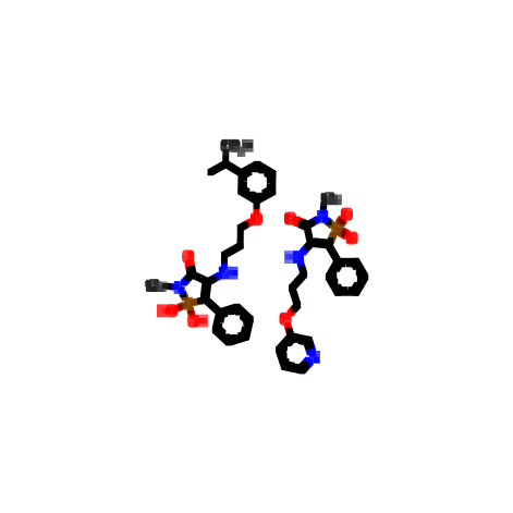 CC(C(=O)O)c1cccc(OCCCNC2=C(c3ccccc3)S(O)(O)N(C(C)(C)C)C2=O)c1.CC(C)(C)N1C(=O)C(NCCCOc2cccnc2)=C(c2ccccc2)S1(=O)=O